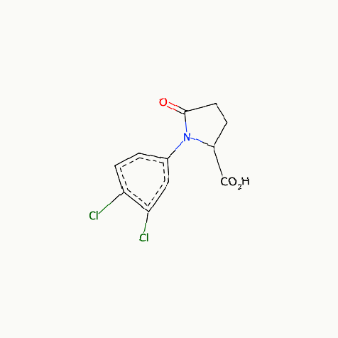 O=C(O)C1CCC(=O)N1c1ccc(Cl)c(Cl)c1